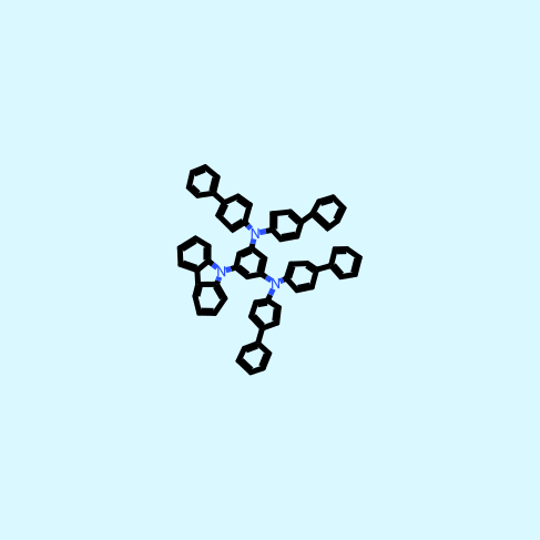 c1ccc(-c2ccc(N(c3ccc(-c4ccccc4)cc3)c3cc(N(c4ccc(-c5ccccc5)cc4)c4ccc(-c5ccccc5)cc4)cc(-n4c5ccccc5c5ccccc54)c3)cc2)cc1